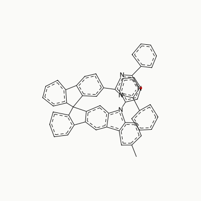 Cc1ccc2c(c1)c1cc3c(cc1n2-c1ccccc1)C1(c2ccccc2-c2ccc(-c4nc(-c5ccccc5)nc(-c5ccccc5)n4)cc21)c1ccccc1-3